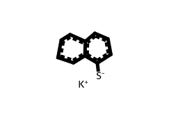 [K+].[S-]c1cccc2ccccc12